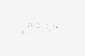 CC(C)C(C(=O)O)N(C)CCc1ccc(N(C)C(=O)OC(C)(C)C)cc1